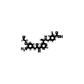 C=C(NCc1ccc(C(=O)O)c(C)c1)c1cc(NC(=O)Cc2ccc(OCC=O)c(N)c2)ncn1